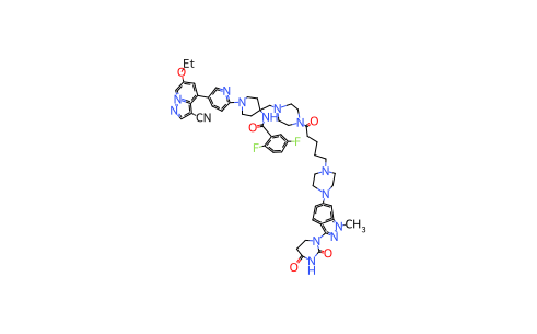 CCOc1cc(-c2ccc(N3CCC(CN4CCN(C(=O)CCCCN5CCN(c6ccc7c(N8CCC(=O)NC8=O)nn(C)c7c6)CC5)CC4)(NC(=O)c4cc(F)ccc4F)CC3)nc2)c2c(C#N)cnn2c1